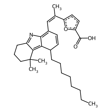 CCCCCCCCC1C=CC(C=C(C)c2ccc(C(=O)O)o2)=C2N=C3CCCC(C)(C)C3=C21